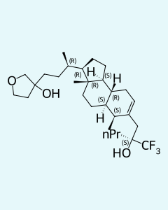 CCC[C@](O)(CC1=CC[C@@H]2[C@H](CC[C@]3(C)[C@@H]([C@H](C)CCC4(O)CCOC4)CC[C@@H]23)[C@@H]1C)C(F)(F)F